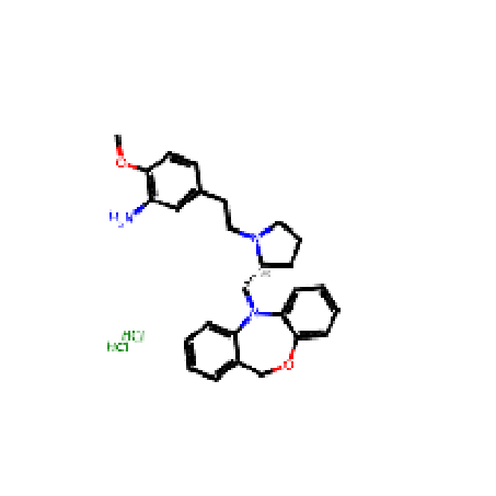 COc1ccc(CCN2CCC[C@@H]2CN2c3ccccc3COc3ccccc32)cc1N.Cl.Cl